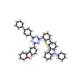 c1ccc(-c2ccc(-c3nc(-c4ccc5oc6ccccc6c5c4)nc(-c4cccc5c4sc4c5ccc5c4c4ccccc4n5-c4ccccc4)n3)cc2)cc1